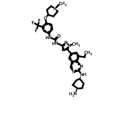 CCc1cc(-c2cc(NC(=O)Nc3ccc(OC4CCN(C)CC4)c(C(F)(F)F)c3)nn2C)cc2cnc(N[C@H]3CC[C@H](N)CC3)nc12